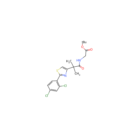 CC(C)(C)OC(=O)CNC(=O)C(C)(C)c1csc(-c2ccc(Cl)cc2Cl)n1